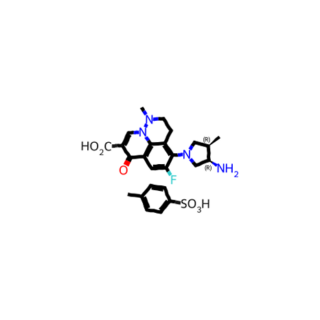 C[C@@H]1CN(c2c(F)cc3c(=O)c(C(=O)O)cn4c3c2CCN4C)C[C@@H]1N.Cc1ccc(S(=O)(=O)O)cc1